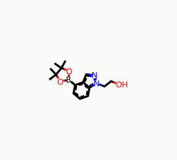 CC1(C)OB(c2cccc3c2cnn3CCO)OC1(C)C